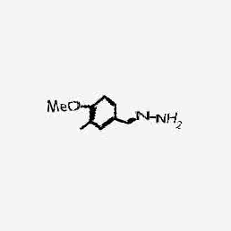 COc1ccc(/C=N/N)cc1C